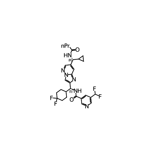 CCCC(=O)N[C@@H](c1cnn2cc([C@@H](NC(=O)c3cncc(C(F)F)c3)C3CCC(F)(F)CC3)nc2c1)C1CC1